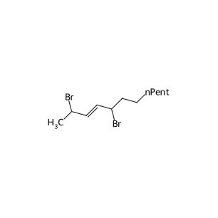 CCCCCCCC(Br)C=CC(C)Br